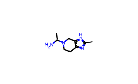 Cc1nc2c([nH]1)CN(C(C)N)CC2